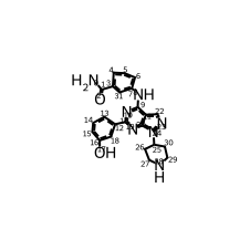 NC(=O)c1cccc(Nc2nc(-c3cccc(O)c3)nc3c2cnn3C2CCNCC2)c1